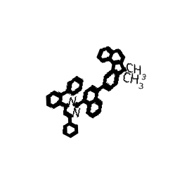 CC1(C)c2ccc(-c3ccc(-c4nc(-c5ccccc5)cc(-c5ccccc5-c5ccccc5)n4)c4ccccc34)cc2-c2c1ccc1ccccc21